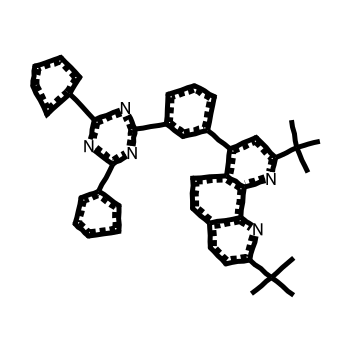 CC(C)(C)c1ccc2ccc3c(-c4cccc(-c5nc(-c6ccccc6)nc(-c6ccccc6)n5)c4)cc(C(C)(C)C)nc3c2n1